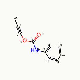 CC#COC(=O)Nc1ccccc1